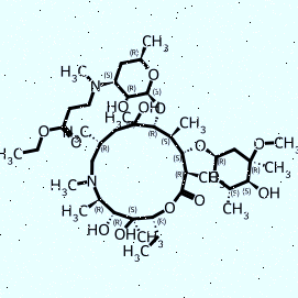 CCOC(=O)CCN(C)[C@H]1C[C@@H](C)O[C@@H](O[C@@H]2[C@@H](C)[C@H](O[C@H]3C[C@@](C)(OC)[C@@H](O)[C@H](C)O3)[C@@H](C)C(=O)O[C@H](CC)[C@@](C)(O)[C@H](O)[C@@H](C)N(C)C[C@H](C)C[C@@]2(C)O)[C@@H]1O